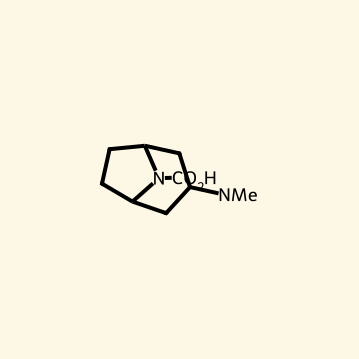 CNC1CC2CCC(C1)N2C(=O)O